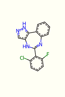 Fc1cccc(Cl)c1C1=Nc2ccccc2-c2[nH]ncc2N1